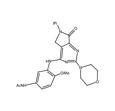 COc1ccc(NC(C)=O)cc1Nc1nc(N2CCOCC2)nc2c1CN(C(C)C)C2=O